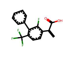 C=C(C(=O)O)c1ccc(C(F)(F)F)c(-c2ccccc2)c1F